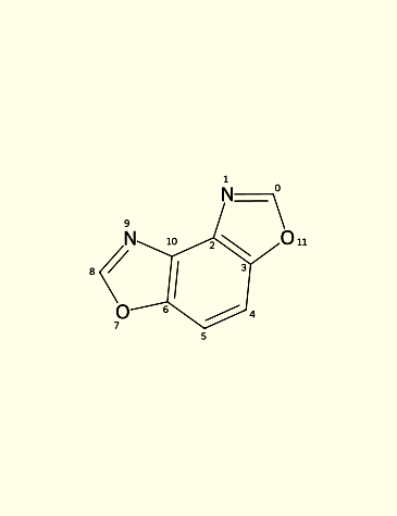 c1nc2c(ccc3ocnc32)o1